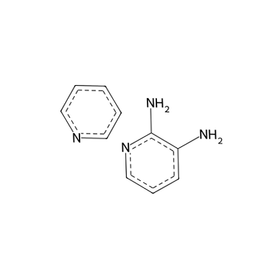 Nc1cccnc1N.c1ccncc1